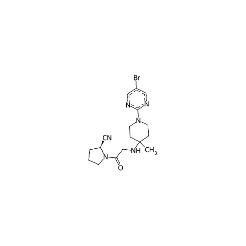 CC1(NCC(=O)N2CCC[C@H]2C#N)CCN(c2ncc(Br)cn2)CC1